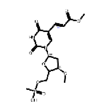 COC(=O)/C=C/c1cn([C@H]2C[C@@H](OC)C(COP(C)(=O)O)O2)c(=O)[nH]c1=O